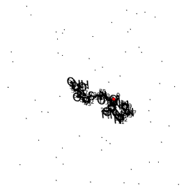 C=CC(=O)Nc1cc(Nc2nccc(-c3cn(C)c4ccccc34)n2)c(OC)cc1N(C)CCN(C)C(=O)CCSc1cccc2c1CN(C1CCC(=O)NC1=O)C2=O